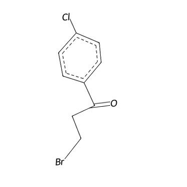 O=C(CCBr)c1ccc(Cl)cc1